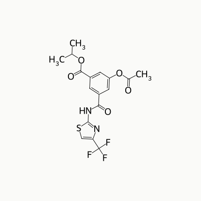 CC(=O)Oc1cc(C(=O)Nc2nc(C(F)(F)F)cs2)cc(C(=O)OC(C)C)c1